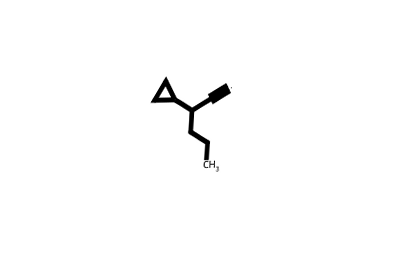 [C]#CC(CCC)C1CC1